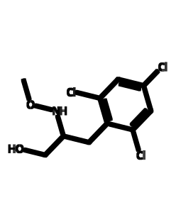 CONC(CO)Cc1c(Cl)cc(Cl)cc1Cl